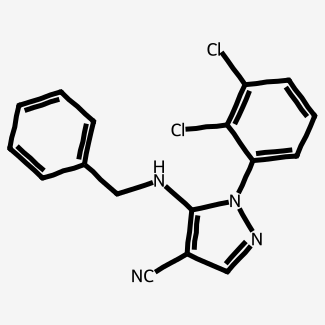 N#Cc1cnn(-c2cccc(Cl)c2Cl)c1NCc1ccccc1